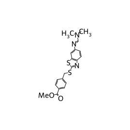 COC(=O)c1ccc(CSc2nc3ccc(N=CN(C)C)cc3s2)cc1